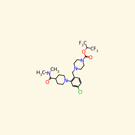 CN(C)C(=O)C1CCN(c2cc(Cl)ccc2CN2CCN(C(=O)OC(C(F)(F)F)C(F)(F)F)CC2)CC1